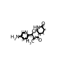 CN(C(=O)[C@H]1CCC(=O)NC1)C(c1ccc(N)cn1)C(F)(F)F